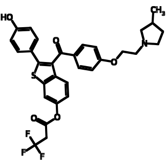 CC1CCN(CCOc2ccc(C(=O)c3c(-c4ccc(O)cc4)sc4cc(OC(=O)CC(F)(F)F)ccc34)cc2)C1